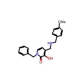 COc1ccc(CNCc2ccn(Cc3ccccc3)c(=O)c2O)cc1